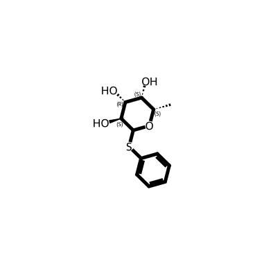 C[C@@H]1OC(Sc2ccccc2)[C@@H](O)[C@H](O)[C@@H]1O